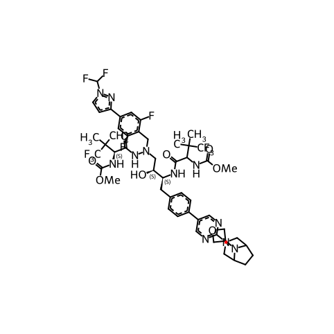 COC(=O)NC(C(=O)N[C@@H](Cc1ccc(-c2cnc(N3CC4CCC(C3)N4C3COC3)nc2)cc1)[C@@H](O)CN(Cc1c(F)cc(-c2ccn(C(F)F)n2)cc1F)NC(=O)[C@@H](NC(=O)OC)C(C)(C)C(F)(F)F)C(C)(C)C(F)(F)F